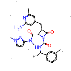 CC[C@@H](NC(=O)N1C(=O)[C@H](Cc2cc(C)nc(N)c2)[C@H]1C(=O)N(C)c1ccn(C)n1)c1cccc(C)c1